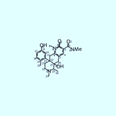 CNC(=O)c1cc2c(n(C)c1=O)CC1(c3cc(O)ccc3C)CCN(C)C(C)C1(O)C2